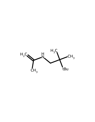 C=C(C)NCC(C)(C)C(C)(C)C